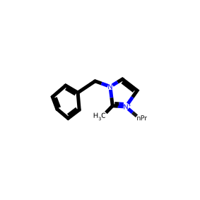 CCC[n+]1ccn(Cc2ccccc2)c1C